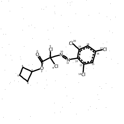 O=C(OC1CCC1)C(Cl)(Cl)/N=N/c1c(Cl)cc(Cl)cc1Cl